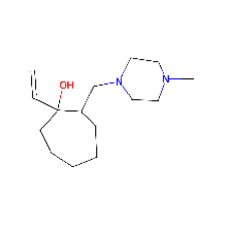 C=CC1(O)CCCCCC1CN1CCN(C)CC1